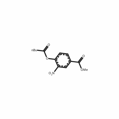 CCC[CH]C(=O)Oc1ccc(C(=O)OC)cc1[N+](=O)[O-]